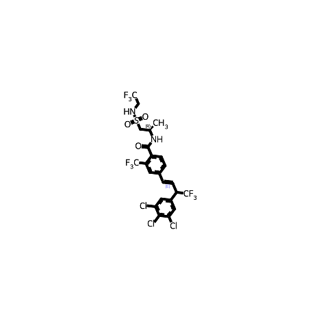 C[C@H](CS(=O)(=O)NCC(F)(F)F)NC(=O)c1ccc(/C=C/C(c2cc(Cl)c(Cl)c(Cl)c2)C(F)(F)F)cc1C(F)(F)F